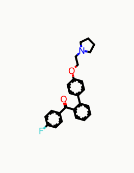 O=C(c1ccc(F)cc1)c1ccccc1-c1ccc(OCCN2CCCC2)cc1